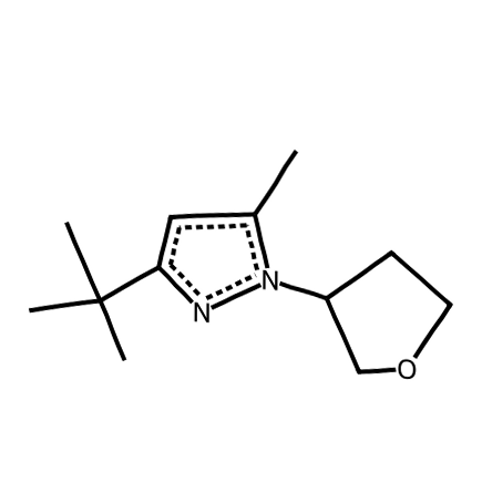 Cc1cc(C(C)(C)C)nn1C1CCOC1